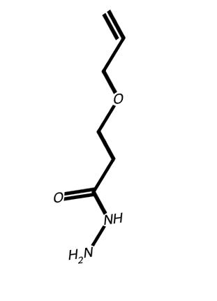 C=CCOCCC(=O)NN